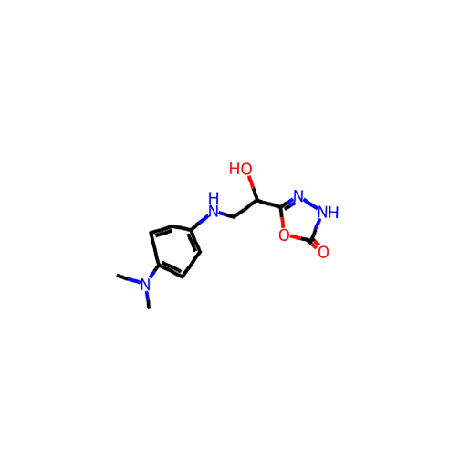 CN(C)c1ccc(NCC(O)c2n[nH]c(=O)o2)cc1